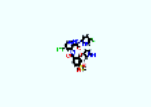 CS(=O)(=O)c1ccc(C(=O)Nc2cccnc2C(=O)Nc2ccc(Cl)cn2)c(O[C@@H]2CCNC2)c1.Cl